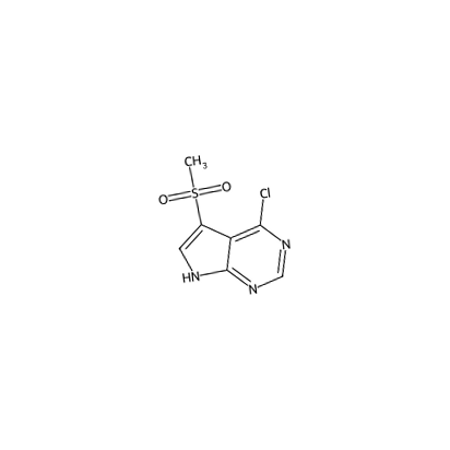 CS(=O)(=O)c1c[nH]c2ncnc(Cl)c12